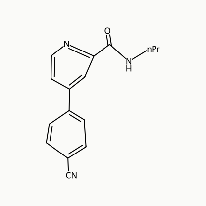 CCCNC(=O)c1cc(-c2ccc(C#N)cc2)ccn1